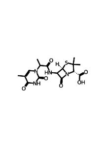 Cc1cn(C(C)C(=O)NC2C(=O)N3[C@@H]2SC(C)(C)[C@@H]3C(=O)O)c(=O)[nH]c1=O